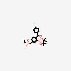 CCS(=O)(=O)Cc1ccc(C(=O)c2ccc(Cl)cc2)c(B2OC(C)(C)C(C)(C)O2)c1